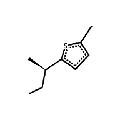 CC[C@@H](C)c1ccc(C)s1